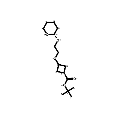 CC(C)(C)OC(=O)N1CC(OCCO[C@H]2CCCCO2)C1